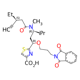 C#C[C@@H](CC)CC(=O)N(C)[C@H](C[C@@H](OCCCN1C(=O)c2ccccc2C1=O)c1nc(C(=O)O)cs1)C(C)C